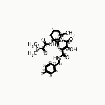 CC1C2CCC(NC(=O)C(=O)N(C)C)(CO2)c2nc(C(=O)NCc3ccc(F)cc3)c(O)c(=O)n21